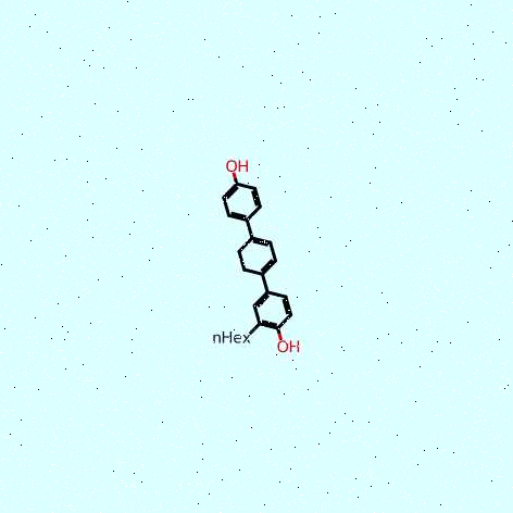 CCCCCCc1cc(C2=CC=C(c3ccc(O)cc3)CC2)ccc1O